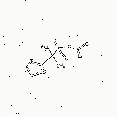 CC(C)(c1nccs1)S(=O)(=O)O[SH](=O)=O